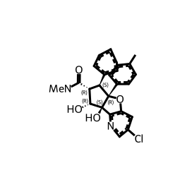 CNC(=O)[C@H]1[C@@H](O)[C@@]2(O)c3ncc(Cl)cc3O[C@@]2(c2ccc(C)cc2)[C@@H]1c1ccccc1